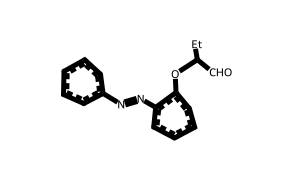 CCC(C=O)Oc1ccccc1N=Nc1ccccc1